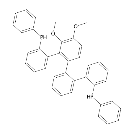 COc1ccc(-c2ccccc2-c2ccccc2Pc2ccccc2)c(-c2ccccc2Pc2ccccc2)c1OC